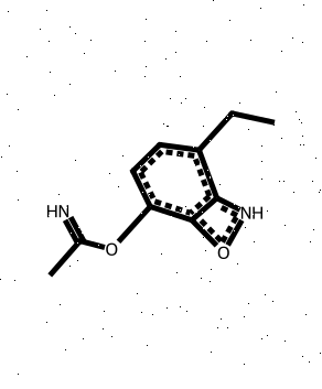 CCc1ccc(OC(C)=N)c2o[nH]c12